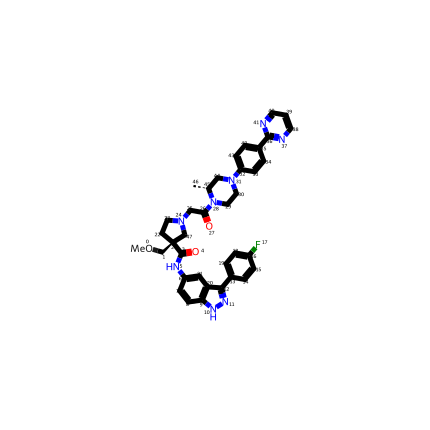 COC[C@@]1(C(=O)Nc2ccc3[nH]nc(-c4ccc(F)cc4)c3c2)CCN(CC(=O)N2CCN(c3ccc(-c4ncccn4)cc3)C[C@H]2C)C1